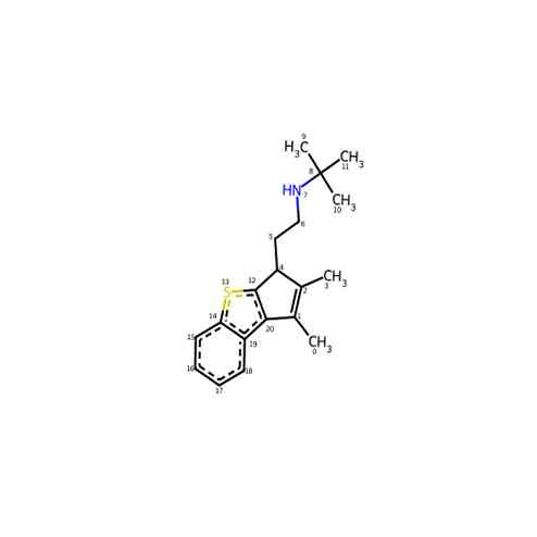 CC1=C(C)C(CCNC(C)(C)C)c2sc3ccccc3c21